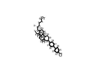 CC(C)CCC[C@@H](C)[C@H]1CC[C@H]2[C@@H]3CC[C@H]4CC(c5ccc(-c6ccc(Cl)cc6)cc5)CC[C@]4(C)[C@H]3CC[C@]12C